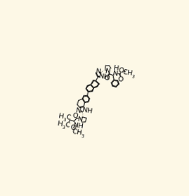 CON[C@H](C(=O)N1CCC[C@H]1c1nc2c([nH]1)-c1ccc(-c3ccc4cc(-c5cnc([C@@H]6CCCN6C(=O)[C@H](NC(=O)OC)c6ccccc6)[nH]5)ccc4c3)cc1CC2)C(C)C